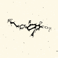 N#CCCCN1CCN(c2cc3c(cc2F)c(=O)c(C(=O)O)cn3C2CC2)CC1